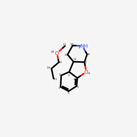 C1=CCC2C(=C1)OC1CNCCC12.CCCOC